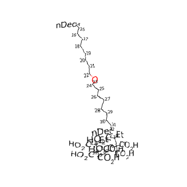 CCC(C(=O)O)C(C(=O)O)(C(=O)O)C(=O)O.CCC(C(=O)O)C(C(=O)O)(C(=O)O)C(=O)O.CCCCCCCCCCCCCCCCCCOCCCCCCCCCCCCCCCCCC